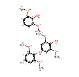 COc1cccc(OC)c1O.COc1cccc(OC)c1O.COc1cccc(OC)c1O.P